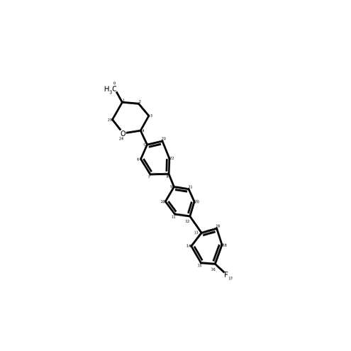 CC1CCC(c2ccc(-c3ccc(-c4ccc(F)cc4)cc3)cc2)OC1